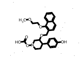 COCCOc1c(COC2CN(OC(=O)O)CCC2c2ccc(O)cc2)ccc2ccccc12